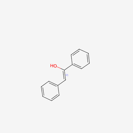 O/C(=C\c1ccccc1)c1ccccc1